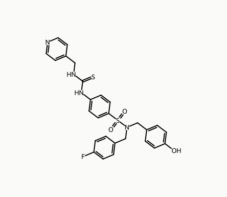 O=S(=O)(c1ccc(NC(=S)NCc2ccncc2)cc1)N(Cc1ccc(O)cc1)Cc1ccc(F)cc1